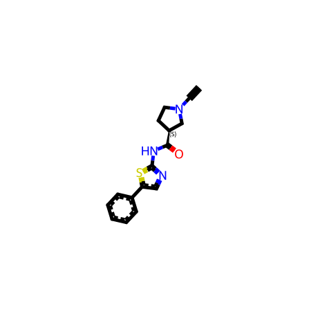 C#CN1CC[C@H](C(=O)Nc2ncc(-c3ccccc3)s2)C1